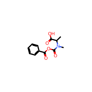 CC(C(=O)O)N(C)C(=O)OC(=O)c1ccccc1